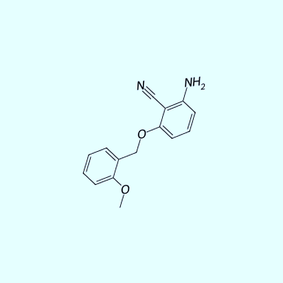 COc1ccccc1COc1cccc(N)c1C#N